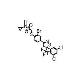 O=S(=O)(CSc1ccc(C2=NOC(c3cc(Cl)cc(Cl)c3)(C(F)(F)F)C2)cc1Br)NC1CC1